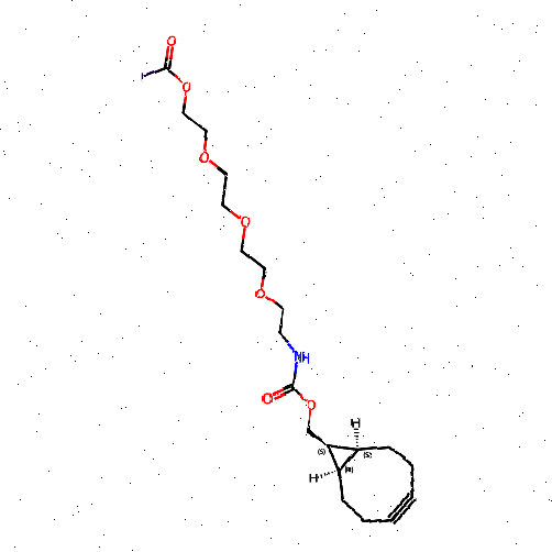 O=C(I)OCCOCCOCCOCCNC(=O)OC[C@@H]1[C@@H]2CCC#CCC[C@@H]21